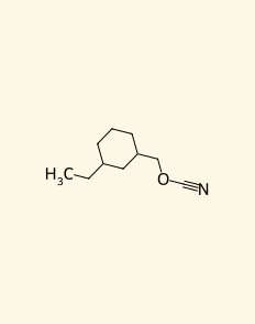 CCC1CCCC(COC#N)C1